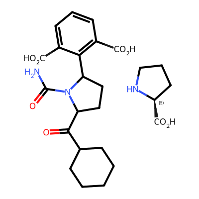 NC(=O)N1C(C(=O)C2CCCCC2)CCC1c1c(C(=O)O)cccc1C(=O)O.O=C(O)[C@@H]1CCCN1